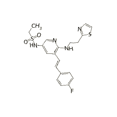 CCS(=O)(=O)Nc1cnc(NCCc2nccs2)c(C=Cc2ccc(F)cc2)c1